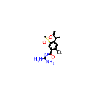 C=CC(C)c1cc(CC)c(C(=O)N=C(N)N)cc1S(C)(=O)=O